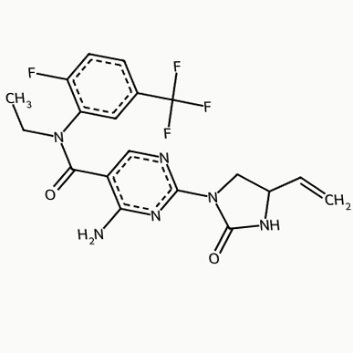 C=CC1CN(c2ncc(C(=O)N(CC)c3cc(C(F)(F)F)ccc3F)c(N)n2)C(=O)N1